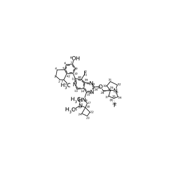 CC1CCCc2cc(O)cc(-c3ncc4c(NCC5(N(C)C)CCC5)nc(OC[C@@]56CCCN5C[C@H](F)C6)nc4c3F)c21